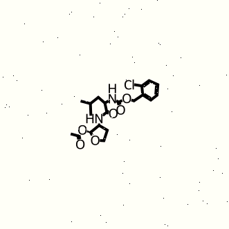 CC(=O)O[C@@H]1OCC[C@@H]1NC(=O)C(CC(C)C)NC(=O)OCc1ccccc1Cl